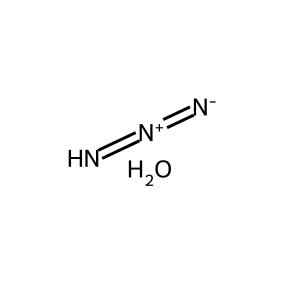 O.[N-]=[N+]=N